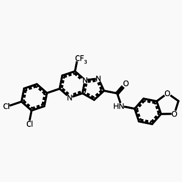 O=C(Nc1ccc2c(c1)OCO2)c1cc2nc(-c3ccc(Cl)c(Cl)c3)cc(C(F)(F)F)n2n1